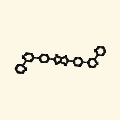 c1ccc(-c2cc(-c3ccc(-c4nc5sc(-c6ccc(-c7ccnc(-c8ccccn8)c7)cc6)nc5s4)cc3)ccn2)nc1